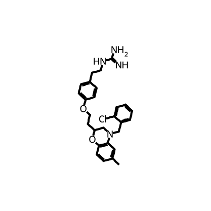 Cc1ccc2c(c1)N(Cc1ccccc1Cl)CC(CCOc1ccc(CCNC(=N)N)cc1)O2